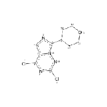 Clc1nc(Cl)c2cnc(C3CCOCC3)n2n1